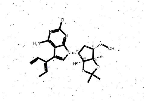 C=C/C(=C\C)c1cn([C@@H]2C[C@H](CO)[C@H]3OC(C)(C)O[C@H]32)c2nc(Cl)nc(N)c12